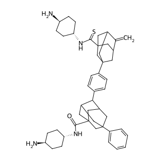 C=C1C2CC3(C(=S)N[C@H]4CC[C@H](N)CC4)CC1CC(c1ccc(C4C5CC6(C(=O)N[C@H]7CC[C@H](N)CC7)CC4CC(c4ccccc4)(C5)C6)cc1)(C2)C3